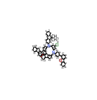 CC1(C)c2ccccc2-c2ccc(N3c4cc(Cl)cc(c4)N(c4ccc(-c5cccc6c5oc5ccccc56)cc4)c4ccc5c(c4)C(C)(c4ccccc4-5)c4cc3ccc4-c3cccc4c3Cc3ccccc3-4)cc21